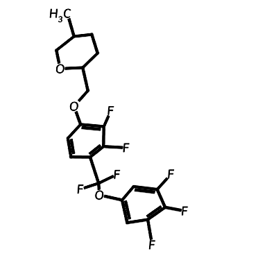 CC1CCC(COc2ccc(C(F)(F)Oc3cc(F)c(F)c(F)c3)c(F)c2F)OC1